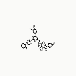 O=C(NCc1cc(-c2ccc(F)c(Cl)c2)nc(N2CCN(c3ccccc3F)CC2)n1)C1CCCN1S(=O)(=O)c1ccc(F)cc1